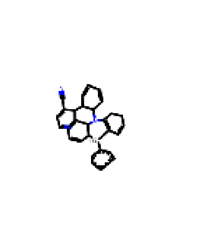 N#CC1=CC=NCC1C1C=CC=CC1N1C2=C(C=CCC2)[SiH](c2ccccc2)C2C=CC=CC21